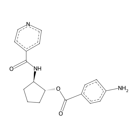 Nc1ccc(C(=O)O[C@@H]2CCC[C@H]2NC(=O)c2ccncc2)cc1